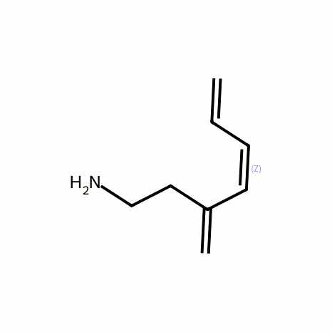 C=C/C=C\C(=C)CCN